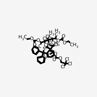 CCOC(=O)OC(C)C(C)(C)C(Cl)(N1C(=O)[C@@H](C(C)OC(=O)OCC(Cl)(Cl)Cl)[C@H]1SC(c1ccccc1)(c1ccccc1)c1ccccc1)C(C)(C)C(C)OC(=O)OCC